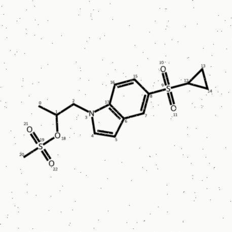 CC(Cn1ccc2cc(S(=O)(=O)C3CC3)ccc21)OS(C)(=O)=O